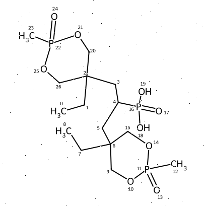 CCC1(CC(CC2(CC)COP(C)(=O)OC2)P(=O)(O)O)COP(C)(=O)OC1